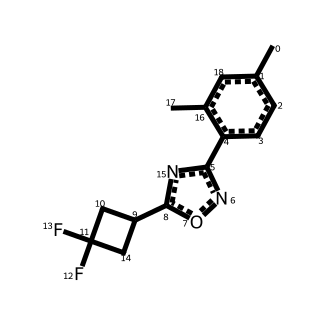 Cc1ccc(-c2noc(C3CC(F)(F)C3)n2)c(C)c1